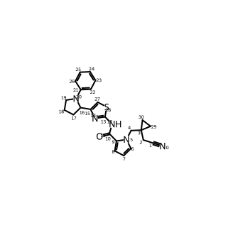 N#CCC1(Cn2cccc2C(=O)Nc2nc(C3CCCN3c3ccccc3)cs2)CC1